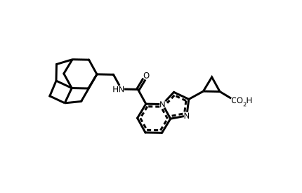 O=C(NCC12CC3CC4CC(C1)C4(C3)C2)c1cccc2nc(C3CC3C(=O)O)cn12